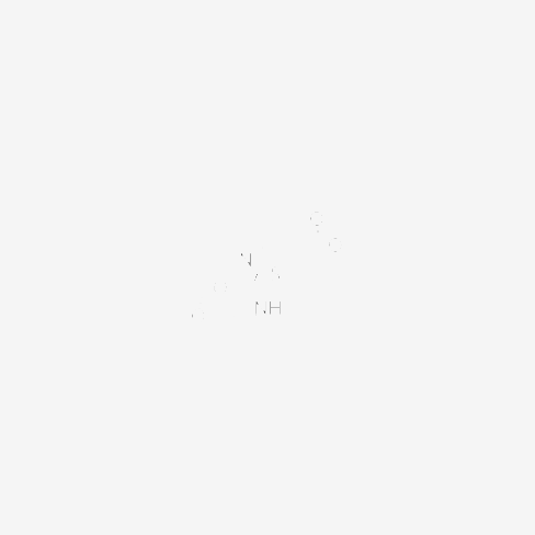 COC(=O)CCc1cnc([C@H]2NCC[C@@H]2OC(C)=O)s1